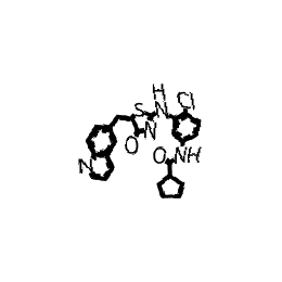 O=C1N=C(Nc2cc(NC(=O)C3CCCC3)ccc2Cl)SC1=Cc1ccc2ncccc2c1